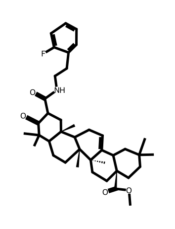 COC(=O)[C@]12CCC(C)(C)CC1C1=CCC3[C@@]4(C)CC(C(=O)NCCc5ccccc5F)C(=O)C(C)(C)C4CC[C@@]3(C)[C@]1(C)CC2